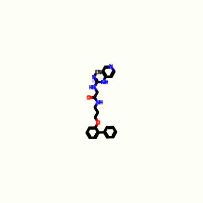 N#C/N=C(/NCC(=O)NCCCOc1ccccc1-c1ccccc1)Nc1ccncc1